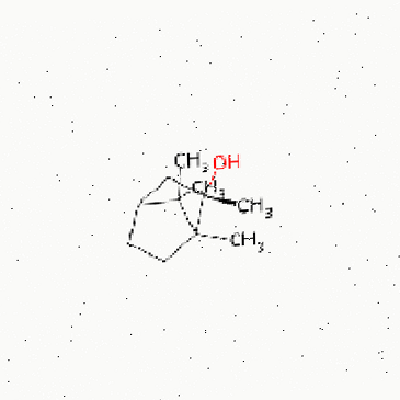 CC1(C)C2CCC1(C)[C@@](C)(O)C2